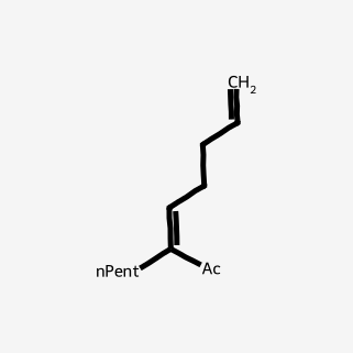 C=CCCC=C(CCCCC)C(C)=O